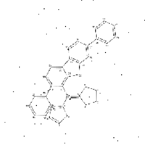 C1=CC[C]([Zr](=[C]2CCCC2)[c]2c(-c3ccccc3)ccc3c2Cc2cc(-c4ccccc4)ccc2-3)=C1